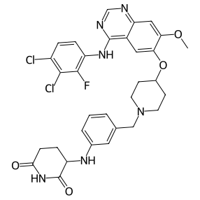 COc1cc2ncnc(Nc3ccc(Cl)c(Cl)c3F)c2cc1OC1CCN(Cc2cccc(NC3CCC(=O)NC3=O)c2)CC1